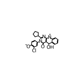 COc1ccc(-n2c(C3CCCC3)nc3c(c2=O)C(O)c2ccccc2N3C)cc1Cl